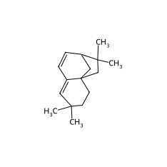 CC1(C)C=C2C=CC3CC2(CC1)CC3(C)C